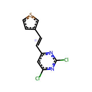 Clc1cc(/C=C/c2ccsc2)nc(Cl)n1